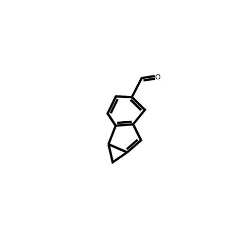 O=Cc1ccc2c(c1)C=C1CC12